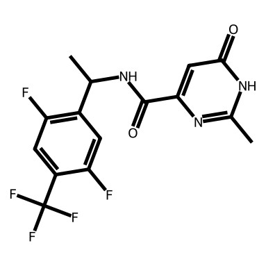 Cc1nc(C(=O)NC(C)c2cc(F)c(C(F)(F)F)cc2F)cc(=O)[nH]1